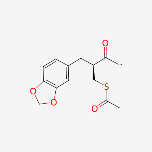 [CH2]C(=O)[C@@H](CSC(C)=O)Cc1ccc2c(c1)OCO2